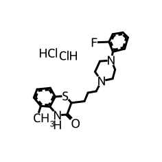 Cc1cccc2c1NC(=O)C(CCCN1CCN(c3ccccc3F)CC1)S2.Cl.Cl